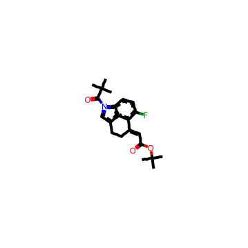 CC(C)(C)OC(=O)/C=C1\CCc2cn(C(=O)C(C)(C)C)c3ccc(F)c1c23